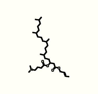 C/C=C/COC(=O)CC(CCC(C)CCCC(C)CCCC(C)CCCC(C)C)OC(=O)CCCN(C)C